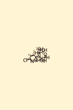 [2H]C1([2H])OC([2H])([2H])C([2H])([2H])N(c2ccc(Cl)nn2)C1([2H])[2H]